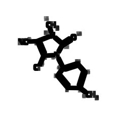 Cc1ccc(-n2c(Cl)c(C#N)n(C)c2=O)cc1